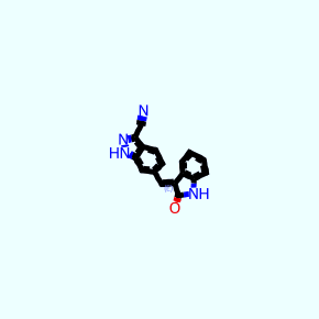 N#Cc1n[nH]c2cc(/C=C3/C(=O)Nc4ccccc43)ccc12